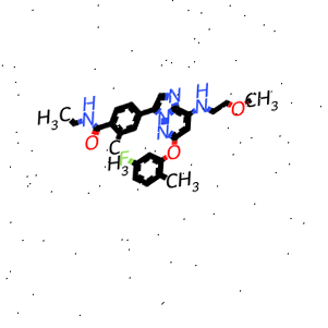 CCNC(=O)c1ccc(-c2cnc3c(NCCOC)cc(Oc4cc(F)ccc4C)nn23)cc1C